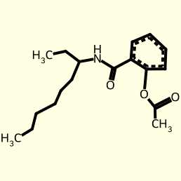 CCCCCCC(CC)NC(=O)c1ccccc1OC(C)=O